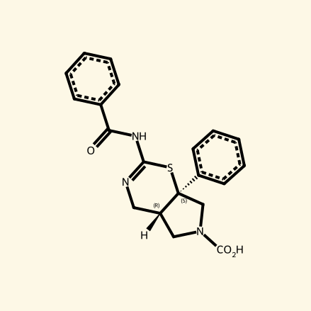 O=C(NC1=NC[C@H]2CN(C(=O)O)C[C@]2(c2ccccc2)S1)c1ccccc1